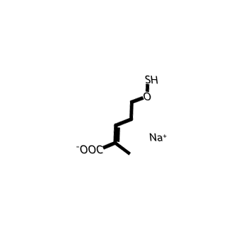 CC(=CCCOS)C(=O)[O-].[Na+]